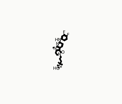 Cn1c2c(c3ccc(Nc4ccc(F)c(F)c4)nc31)C(=O)N(CCCC(C)(C)[Si](C)(C)O)CC2